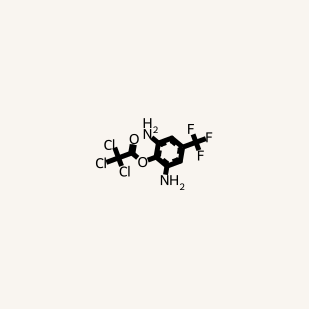 Nc1cc(C(F)(F)F)cc(N)c1OC(=O)C(Cl)(Cl)Cl